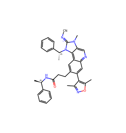 Cc1noc(C)c1-c1cc2ncc3c(c2cc1CCC(=O)N[C@H](C)c1ccccc1)n([C@H](C)c1ccccc1)/c(=N/C#N)n3C